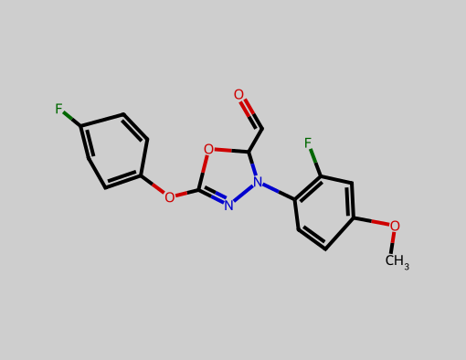 COc1ccc(N2N=C(Oc3ccc(F)cc3)OC2C=O)c(F)c1